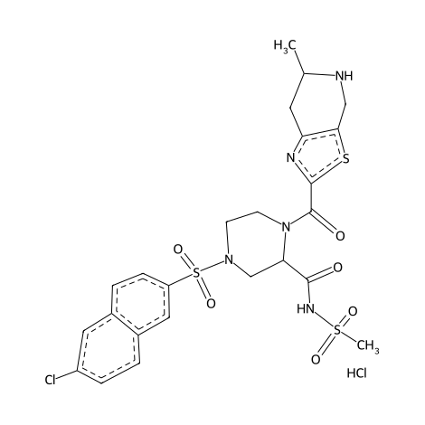 CC1Cc2nc(C(=O)N3CCN(S(=O)(=O)c4ccc5cc(Cl)ccc5c4)CC3C(=O)NS(C)(=O)=O)sc2CN1.Cl